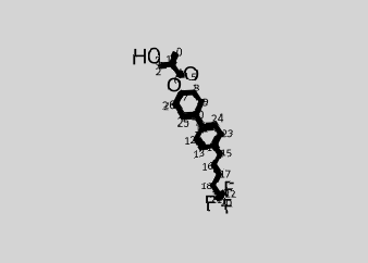 C=C(CO)C(=O)OC1CCC(c2ccc(CCCCC(F)(F)F)cc2)CC1